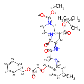 CCOC(=O)N1CCN(C(=O)C(CCC(=O)OC(C)(C)C)NC(=O)c2cc(OCC(=O)OCc3ccccc3)c3ccc(C)cc3n2)CC1